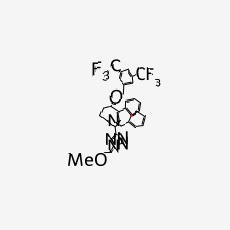 COCCn1nnc(C2CC3(c4ccccc4)C(OCc4cc(C(F)(F)F)cc(C(F)(F)F)c4)CCC2N3Cc2ccccc2)n1